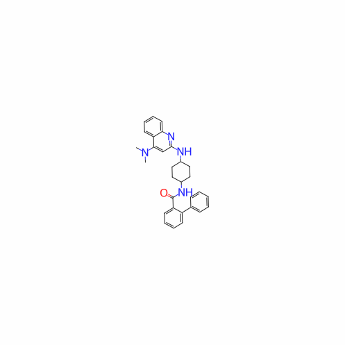 CN(C)c1cc(NC2CCC(NC(=O)c3ccccc3-c3ccccc3)CC2)nc2ccccc12